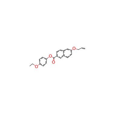 C=CCOc1ccc2cc(C(=O)Oc3ccc(OCC)cc3)ccc2c1